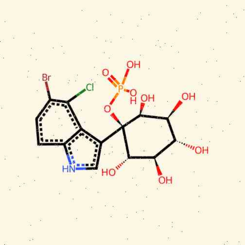 O=P(O)(O)O[C@]1(c2c[nH]c3ccc(Br)c(Cl)c23)[C@@H](O)[C@H](O)[C@@H](O)[C@H](O)[C@@H]1O